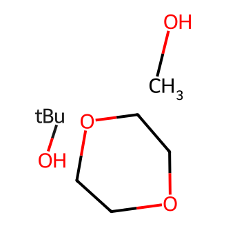 C1COCCO1.CC(C)(C)O.CO